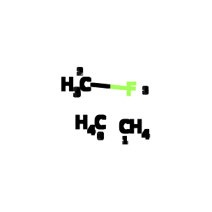 C.C.CF